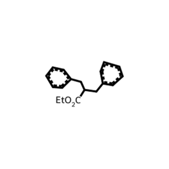 CCOC(=O)C(Cc1ccccc1)Cc1ccccc1